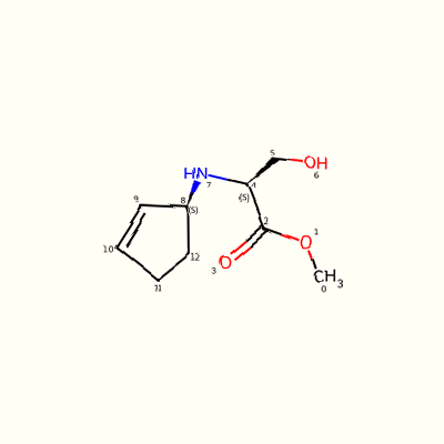 COC(=O)[C@H](CO)N[C@@H]1C=CCC1